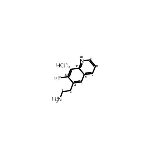 Cl.NCCc1cc2cccnc2cc1F